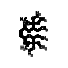 CCC(OC(=O)/C=C\C(=O)OC(CC)[Si](OC)(OC)OC)[Si](OC)(OC)OC